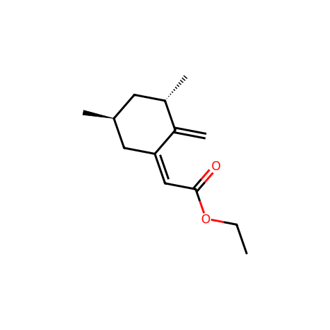 C=C1/C(=C\C(=O)OCC)C[C@@H](C)C[C@@H]1C